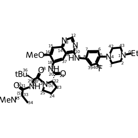 CCN1CCN(c2ccc(Nc3ncnc4cc(OC)c(NC(=O)[C@@H]5CCCN5C(=O)[C@@H](NC(=O)[C@H](C)NC)C(C)(C)C)cc34)cc2F)CC1